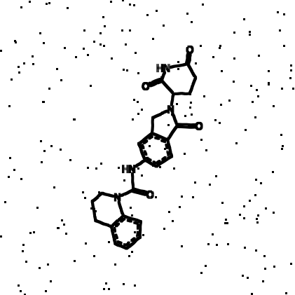 O=C1CCC(N2Cc3cc(NC(=O)N4CCCc5ccccc54)ccc3C2=O)C(=O)N1